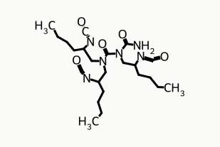 CCCCC(CN(CC(CCCC)N=C=O)C(=O)N(CC(CCCC)N=C=O)C(N)=O)N=C=O